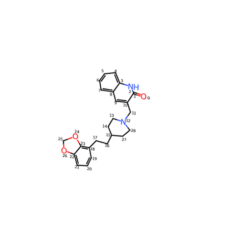 O=c1[nH]c2ccccc2cc1CN1CCC(CCc2cccc3c2OCO3)CC1